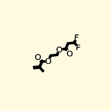 C=C(C)C(=O)OCCOC(=O)CC(F)F